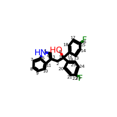 OC(Cc1c[nH]c2ccccc12)(c1ccc(F)cc1)c1ccc(F)cc1